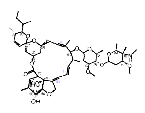 CCC(C)[C@H]1O[C@]2(C=C[C@@H]1C)C[C@@H]1C[C@@H](C/C=C(\C)[C@@H](OC3C[C@H](OC)[C@@H](OC4C[C@H](OC)[C@@](C)(NC)[C@H](C)O4)[C@H](C)O3)C(C)/C=C/C=C3\CO[C@@H]4[C@H](O)C(C)=C[C@@H](C(=O)O1)[C@]34O)O2